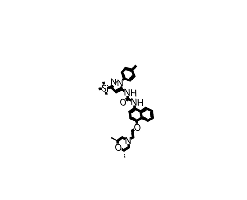 Cc1ccc(-n2nc([Si](C)(C)C)cc2NC(=O)Nc2ccc(OCCN3C[C@H](C)O[C@@H](C)C3)c3ccccc23)cc1